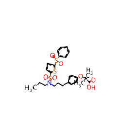 CCCN(CCCc1ccc(OC(C)(C)C(=O)O)cc1)S(=O)(=O)c1ccc(S(=O)(=O)c2ccccc2)s1